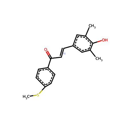 CSc1ccc(C(=O)/C=C/c2cc(C)c(O)c(C)c2)cc1